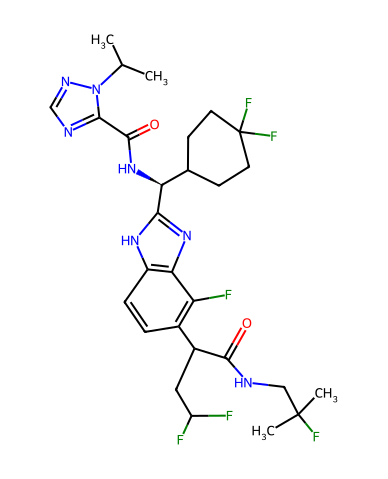 CC(C)n1ncnc1C(=O)N[C@H](c1nc2c(F)c(C(CC(F)F)C(=O)NCC(C)(C)F)ccc2[nH]1)C1CCC(F)(F)CC1